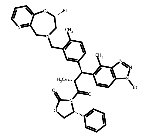 CC[C@@H]1CN(Cc2cc([C@@H](c3ccc4c(nnn4CC)c3C)[C@@H](C)C(=O)N3C(=O)OC[C@H]3c3ccccc3)ccc2C)Cc2ncccc2O1